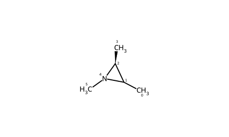 CC1[C@H](C)N1C